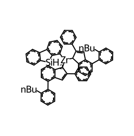 CCCCc1ccccc1-c1cccc2c1C=C(c1ccccc1)[CH]2[Zr]([c]1cccc2c1[SiH2]c1ccccc1-2)[CH]1C(c2ccccc2)=Cc2c(-c3ccccc3CCCC)cccc21